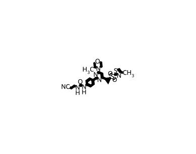 Cc1csc(S(=O)(=O)C2CC2c2cc(N3CCOC[C@@H]3C)nc(-c3ccc(NC(=O)NCCC#N)cc3)n2)n1